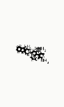 Nc1nccc(-c2c(S(N)(=O)=O)cc(N3CCC4(CC3)Cc3ccccc3[C@H]4N)n3ccnc23)c1Cl